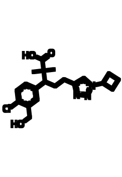 CC(C)(C(=O)O)C(CCc1cn(C2CCC2)nn1)c1ccc(Cl)c(CO)c1